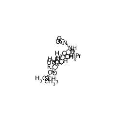 CC(C)[C@@H]1CC[C@]2(NCCN3CCS(=O)(=O)CC3)CC[C@]3(C)[C@H](CC[C@@H]4[C@@]5(C)CC=C(C6=CC[C@@](CF)(C(=O)OCC[Si](C)(C)C)CC6)C(C)(C)[C@@H]5CC[C@]43C)[C@@H]12